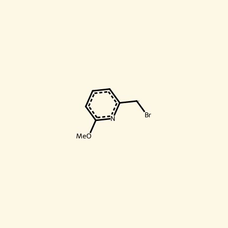 COc1cccc([CH]Br)n1